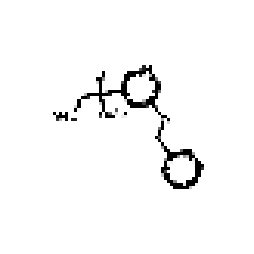 CCC(COC)(OC)c1cncc(OCc2ccccc2)c1